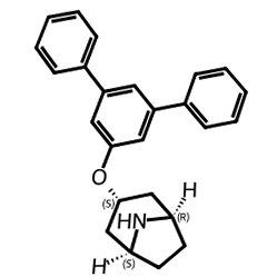 c1ccc(-c2cc(O[C@@H]3C[C@H]4CC[C@@H](C3)N4)cc(-c3ccccc3)c2)cc1